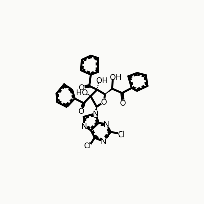 O=C(c1ccccc1)C(O)[C@H]1O[C@@H](n2cnc3c(Cl)nc(Cl)nc32)[C@@](O)(C(=O)c2ccccc2)[C@@]1(O)C(=O)c1ccccc1